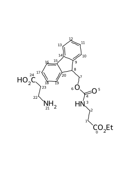 CCOC(=O)CCNC(=O)OCC1c2ccccc2-c2ccccc21.NCCC(=O)O